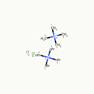 CCC[N+](CCC)(CCC)CCC.C[N+](C)(C)C.[Cl-].[Cl-]